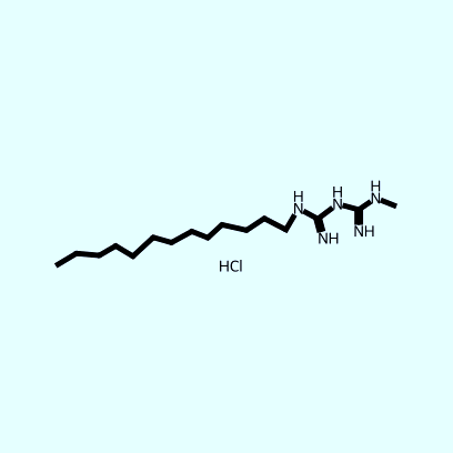 CCCCCCCCCCCCCNC(=N)NC(=N)NC.Cl